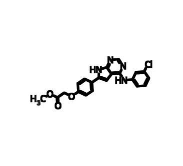 COC(=O)COc1ccc(-c2cc3c(Nc4cccc(Cl)c4)ncnc3[nH]2)cc1